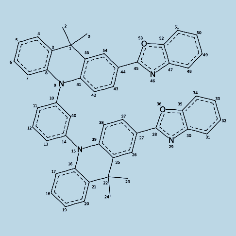 CC1(C)c2ccccc2N(c2cccc(N3c4ccccc4C(C)(C)c4cc(-c5nc6ccccc6o5)ccc43)c2)c2ccc(-c3nc4ccccc4o3)cc21